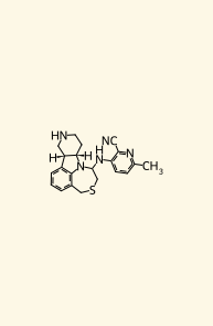 Cc1ccc(NC2CSCc3cccc4c3N2[C@H]2CCNC[C@@H]42)c(C#N)n1